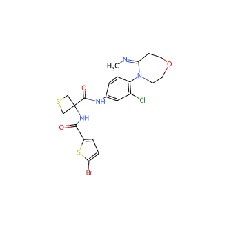 CN=C1CCOCCN1c1ccc(NC(=O)C2(NC(=O)c3ccc(Br)s3)CSC2)cc1Cl